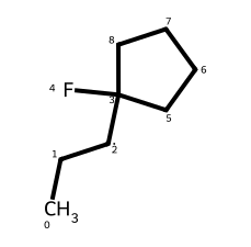 CC[CH]C1(F)CCCC1